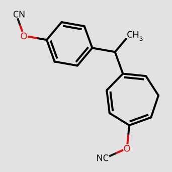 CC(C1=CCC=C(OC#N)C=C1)c1ccc(OC#N)cc1